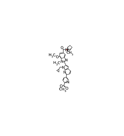 COC(=O)c1ccc(-c2ccc3cc(-c4nc5cc(C(=O)N6CC7CCC6[C@@H]7C)cc(OC)c5n4C)n(CC4CC4)c3n2)cn1